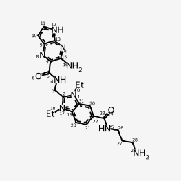 CCn1c(CNC(=O)c2nc3cc[nH]c3nc2N)[n+](CC)c2ccc(C(=O)NCCCN)cc21